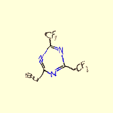 CC(C)(C)c1nc(C(F)(F)F)nc(C(F)(F)F)n1